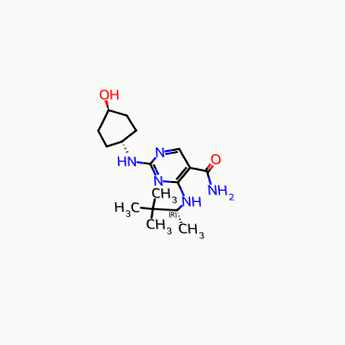 C[C@@H](Nc1nc(N[C@H]2CC[C@H](O)CC2)ncc1C(N)=O)C(C)(C)C